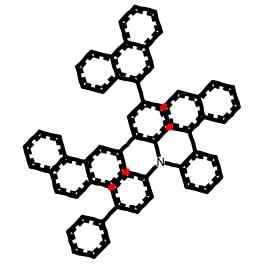 c1ccc(-c2ccc(N(c3ccc(-c4cc5ccccc5c5ccccc45)cc3-c3ccc4ccc5ccccc5c4c3)c3ccccc3-c3cccc4ccccc34)cc2)cc1